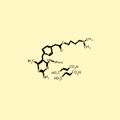 CCCCCNc1nc(N)nc(C)c1Cc1ccc(CC(=O)OCCCCN(C)C)cc1.O=C(O)/C=C/C(=O)O.O=C(O)/C=C/C(=O)O